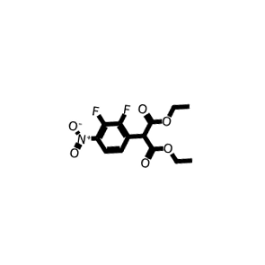 CCOC(=O)C(C(=O)OCC)c1ccc([N+](=O)[O-])c(F)c1F